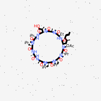 C/C=C/C[C@@H](C)[C@@H](OC(C)=O)[C@H]1C(=O)N[C@@H](CC)C(=O)N(C)[C@H](C)C(=O)N(C)[C@@H]([C@H](C)CO)C(=O)N[C@@H](C(C)C)C(=O)N(C)[C@@H](CC(C)C)C(=O)N[C@@H](C)C(=O)N[C@H](C)C(=O)N(C)[C@@H](CC(C)C)C(=O)N(C)[C@@H](CC(C)C)C(=O)N(C)[C@@H](C(C)C)C(=O)N1C